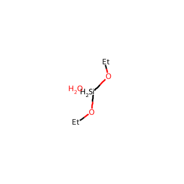 CCO[SiH2]OCC.O